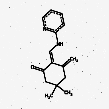 C=C1CC(C)(C)CC(=O)/C1=C/Nc1ccccn1